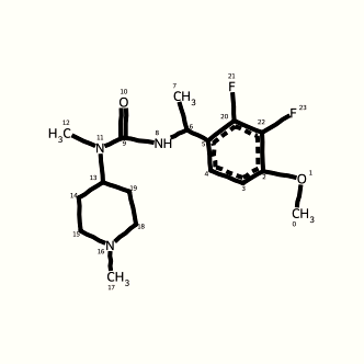 COc1ccc(C(C)NC(=O)N(C)C2CCN(C)CC2)c(F)c1F